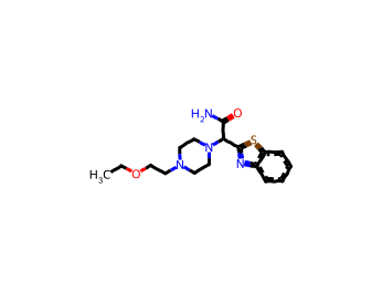 CCOCCN1CCN(C(C(N)=O)c2nc3ccccc3s2)CC1